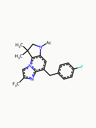 CC(=O)N1CC(C)(C)c2c1cc(Cc1ccc(F)cc1)c1nc(C(F)(F)F)cn21